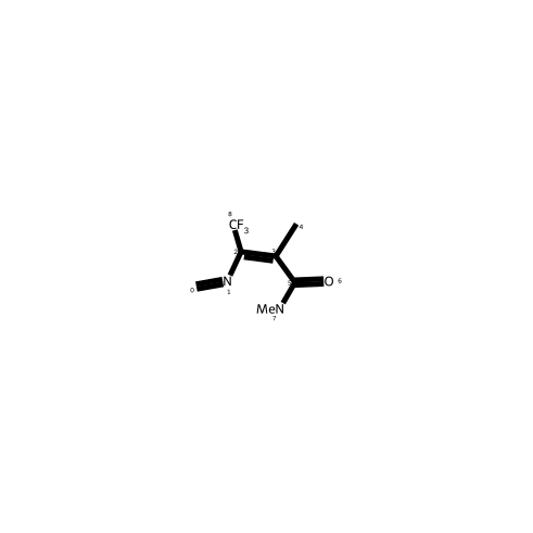 C=N/C(=C(/C)C(=O)NC)C(F)(F)F